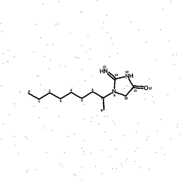 CCCCCCCC(C)N1CC(=O)NC1=N